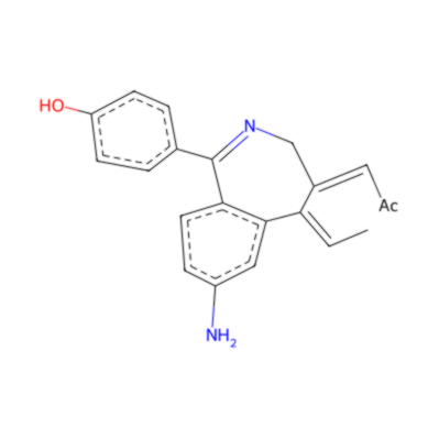 C/C=C1\C(=C/C(C)=O)CN=C(c2ccc(O)cc2)c2ccc(N)cc21